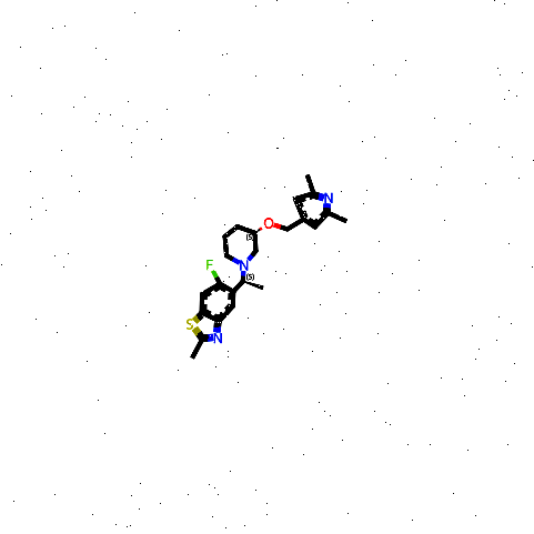 Cc1cc(CO[C@H]2CCCN([C@@H](C)c3cc4nc(C)sc4cc3F)C2)cc(C)n1